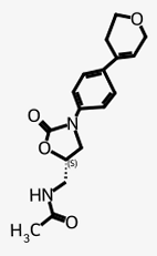 CC(=O)NC[C@H]1CN(c2ccc(C3=CCOCC3)cc2)C(=O)O1